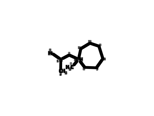 CCN(C)C[PH]1(C)CCCCCC1